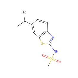 CC(=O)C(C)c1ccc2nc(NS(C)(=O)=O)sc2c1